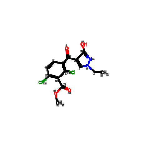 CCn1cc(C(=O)c2ccc(Cl)c(C(=O)OC)c2Cl)c(O)n1